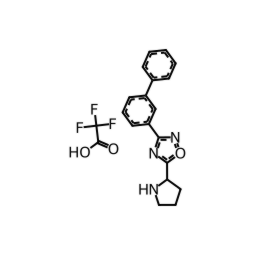 O=C(O)C(F)(F)F.c1ccc(-c2cccc(-c3noc(C4CCCN4)n3)c2)cc1